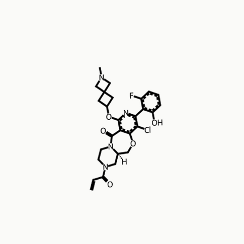 C=CC(=O)N1CCN2C(=O)c3c(OC4CC5(C4)CN(C)C5)nc(-c4c(O)cccc4F)c(Cl)c3OC[C@H]2C1